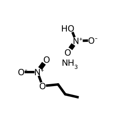 CCCO[N+](=O)[O-].N.O=[N+]([O-])O